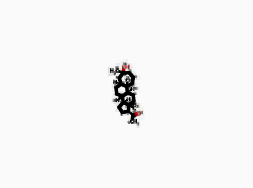 CC(=O)[C@H]1CC[C@H]2[C@@H]3CC[C@H]4C[C@](C)(O)CCC[C@]4(C)[C@H]3CC[C@]12C